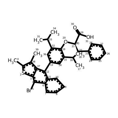 Cc1sc2c(Br)c3ccccc3c(-c3cc(C(C)C)c(O[C@H](Cc4ccccc4)C(=O)O)c(C(C)C)c3)c2c1C